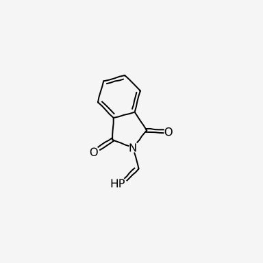 O=C1c2ccccc2C(=O)N1C=P